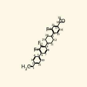 C=Cc1ccc(-c2ccc(C3CCC(c4ccc(C5CO5)cc4F)CC3)c(F)c2F)cc1